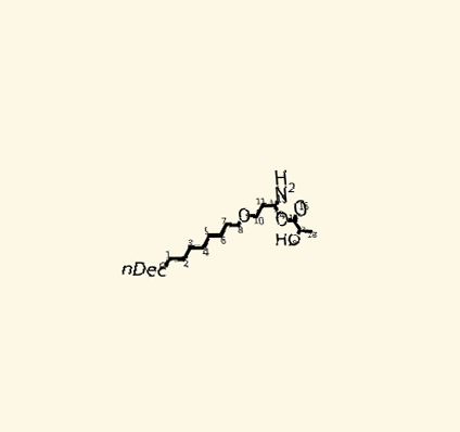 CCCCCCCCCCCCCCCCCCOCCC(N)OC(=O)C(C)O